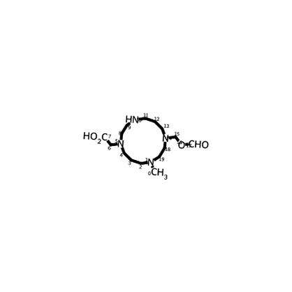 CN1CCCN(CC(=O)O)CCNCCCN(COC=O)CC1